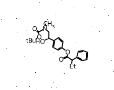 CCC(C(=O)Oc1ccc(C(O)CN(C)C(=O)OC(C)(C)C)cc1)c1ccccc1